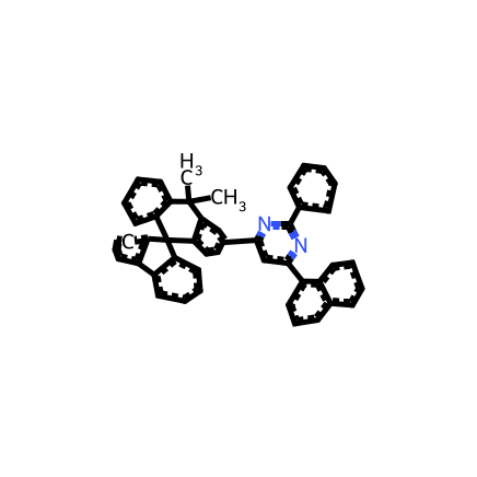 CC1(C)c2ccccc2C2(c3ccccc3-c3ccccc32)c2ccc(-c3cc(-c4cccc5ccccc45)nc(-c4ccccc4)n3)cc21